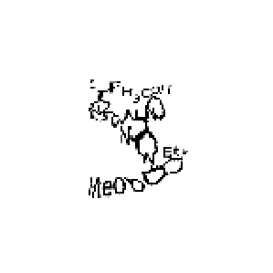 CCc1c(F)ccc2cc(OCOC)cc(N3CCc4c(nc(OCC56CCCN5CC(=C(F)F)C6)nc4N4CCCC(C)(O)C4)C3)c12